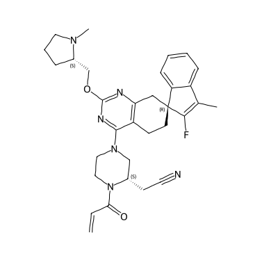 C=CC(=O)N1CCN(c2nc(OC[C@@H]3CCCN3C)nc3c2CC[C@]2(C3)C(F)=C(C)c3ccccc32)C[C@@H]1CC#N